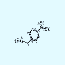 CCN(CC)c1ccc(CC(C)(C)C)cn1